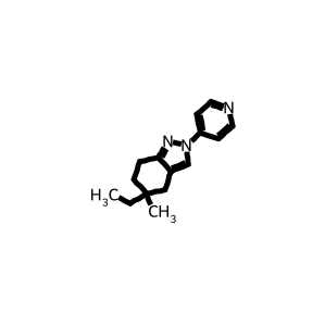 CCC1(C)CCc2nn(-c3ccncc3)cc2C1